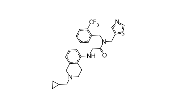 O=C(CNc1cccc2c1CCN(CC1CC1)C2)N(Cc1cncs1)Cc1ccccc1C(F)(F)F